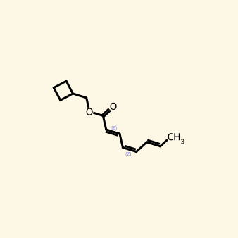 CC=C/C=C\C=C\C(=O)OCC1CCC1